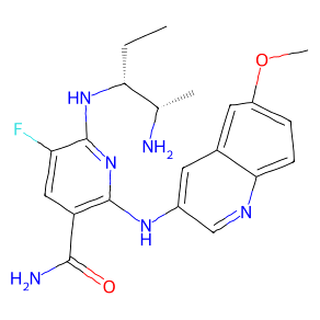 CC[C@@H](Nc1nc(Nc2cnc3ccc(OC)cc3c2)c(C(N)=O)cc1F)[C@H](C)N